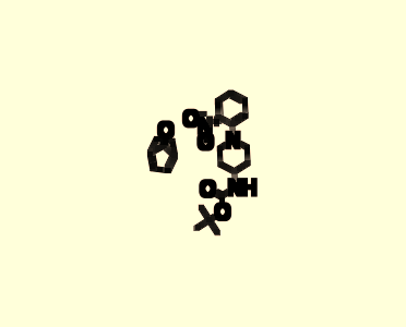 CC(C)(C)OC(=O)NC1CCN(c2ccccc2[N+](=O)[O-])CC1.O=C1C2=CC=C1C=C2